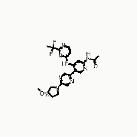 CO[C@@H]1CCN(c2cnc(-c3cnc(NC(C)=O)cc3Nc3ccnc(C(C)(F)F)n3)cn2)C1